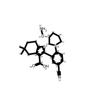 CC1(C)CCc2sc(-c3cc(C#N)ccc3N3CCC[C@@H](ON)C3)c(C(=O)O)c2C1